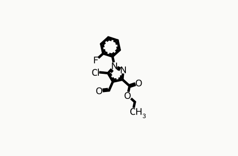 CCOC(=O)c1nn(-c2ccccc2F)c(Cl)c1C=O